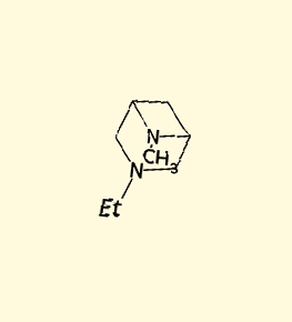 CCN1CC2CC(C1)N2C